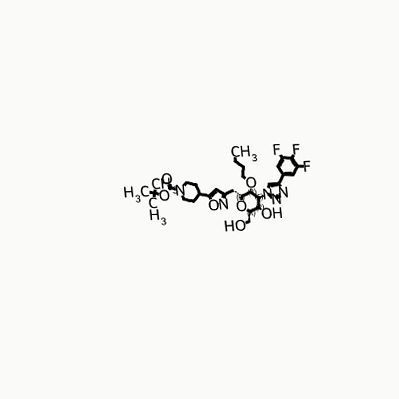 CCCCO[C@@H]1[C@@H](n2cc(-c3cc(F)c(F)c(F)c3)nn2)[C@@H](O)[C@@H](CO)O[C@@H]1Cc1cc(C2CCN(C(=O)OC(C)(C)C)CC2)on1